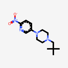 CC(C)(C)CN1CCN(c2ccc([N+](=O)[O-])nc2)CC1